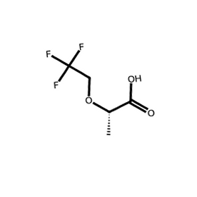 C[C@H](OCC(F)(F)F)C(=O)O